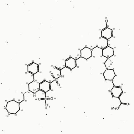 COC(=O)c1cnc(N2CCN(C[C@]3(C)CCC(c4ccc(Cl)cc4)=C(CN4CCN(c5ccc(C(=O)NS(=O)(=O)c6ccc(N[C@H](CCN7CCCOCC7)CSc7ccccc7)c(S(=O)(=O)C(F)(F)F)c6)cc5)CC4)C3)CC2)nc1